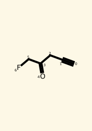 C#CCC(=O)CF